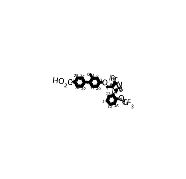 Cc1cc(OCc2c(C(C)C)nnn2-c2ccccc2OC(F)(F)F)ccc1-c1ccc(C(=O)O)cc1